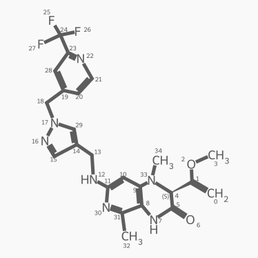 C=C(OC)[C@H]1C(=O)Nc2c(cc(NCc3cnn(Cc4ccnc(C(F)(F)F)c4)c3)nc2C)N1C